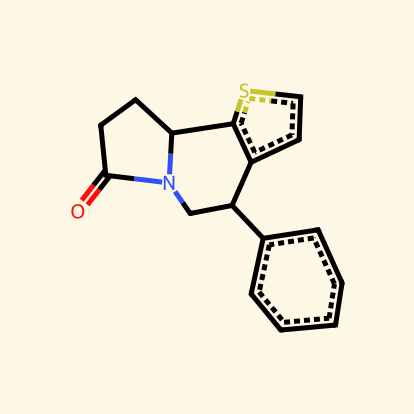 O=C1CCC2c3sccc3C(c3ccccc3)CN12